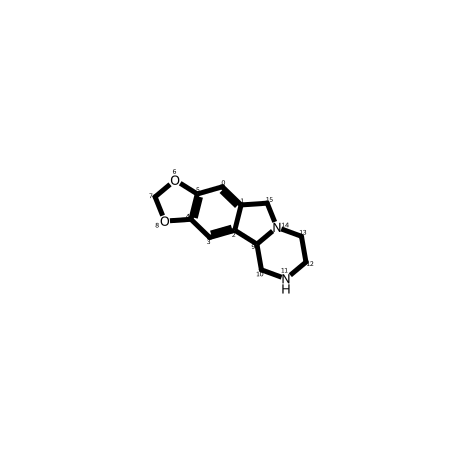 c1c2c(cc3c1OCO3)C1CNCCN1C2